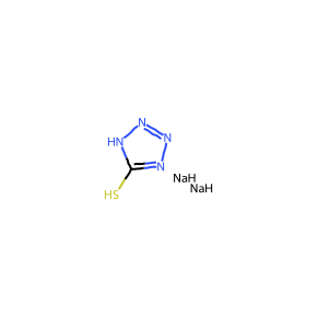 Sc1nnn[nH]1.[NaH].[NaH]